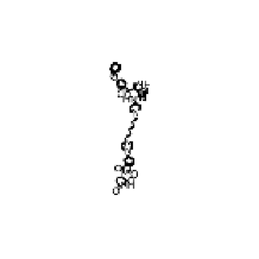 O=C1CCC(N2C(=O)c3ccc(N4CCN(CCCCCCN5CCC(Nc6ncnc7[nH]cc(C(=O)c8ccc(Oc9ccccc9)cc8Cl)c67)CC5)CC4)cc3C2=O)C(=O)N1